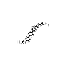 C=C[C@H]1CC[C@H](C2CCC(c3ccc(COCC=CC)cc3)CC2)CC1